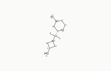 CCN1CCO[C@H](C(C)(C)N2CC(O)C2)C1